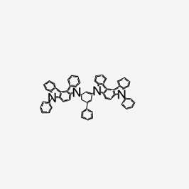 C1=C(c2ccccc2)CC(n2c3ccccc3c3c4c5ccccc5n(-c5ccccc5)c4ccc32)C=C1n1c2ccccc2c2c3c4ccccc4n(-c4ccccc4)c3ccc21